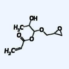 C=CC(=O)OC(OCC1CO1)C(C)O